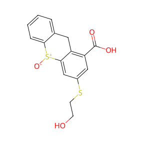 O=C(O)c1cc(SCCO)cc2c1Cc1ccccc1[S+]2[O-]